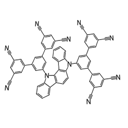 N#Cc1cc(C#N)cc(-c2cc(-c3cc(C#N)cc(C#N)c3)cc(-n3c4ccccc4c4c3ccc3c5ccccc5n(-c5cc(-c6cc(C#N)cc(C#N)c6)cc(-c6cc(C#N)cc(C#N)c6)c5)c34)c2)c1